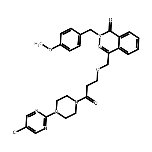 COc1ccc(Cn2nc(COCCC(=O)N3CCN(c4ncc(Cl)cn4)CC3)c3ccccc3c2=O)cc1